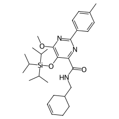 COc1nc(-c2ccc(C)cc2)nc(C(=O)NCC2CC=CCC2)c1O[Si](C(C)C)(C(C)C)C(C)C